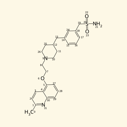 Cc1ccc2c(OCCN3CCC(Cc4cccc(CS(N)(=O)=O)c4)CC3)cccc2n1